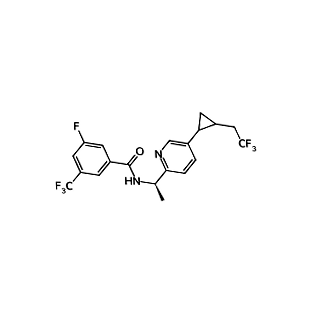 C[C@@H](NC(=O)c1cc(F)cc(C(F)(F)F)c1)c1ccc(C2CC2CC(F)(F)F)cn1